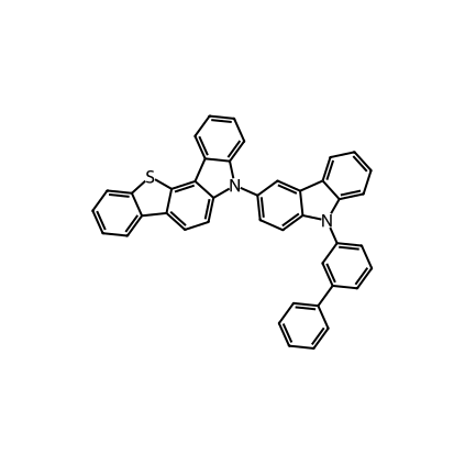 c1ccc(-c2cccc(-n3c4ccccc4c4cc(-n5c6ccccc6c6c7sc8ccccc8c7ccc65)ccc43)c2)cc1